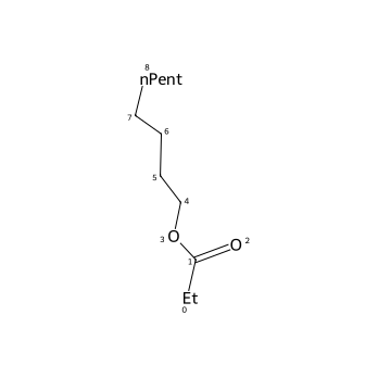 [CH2]CC(=O)OCCCCCCCCC